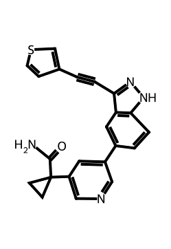 NC(=O)C1(c2cncc(-c3ccc4[nH]nc(C#Cc5ccsc5)c4c3)c2)CC1